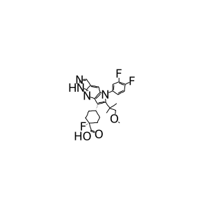 COCC(C)(C)c1c([C@H]2CC[C@](F)(C(=O)O)CC2)c2nc3[nH]ncc3cc2n1-c1ccc(F)c(F)c1